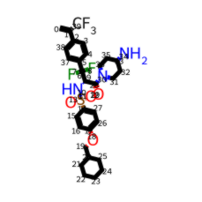 C=C(c1ccc(C(F)(F)[C@@H](NS(=O)(=O)c2ccc(OCC3CCCCC3)cc2)C(=O)N2CCC(N)CC2)cc1)C(F)(F)F